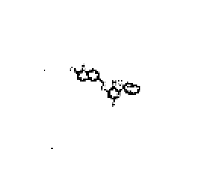 Cn1c(=O)ccc2cc(COc3cc(F)cc(C4(O)CC5CCC(C4)O5)c3)ccc21